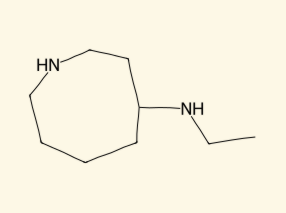 CCNC1CCCCNCC1